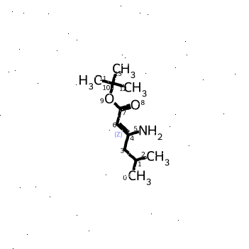 CC(C)C/C(N)=C/C(=O)OC(C)(C)C